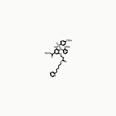 COC(=O)c1cc(NS(=O)(=O)c2ccc(OC)cc2)c(Oc2ccccc2OC)c(OCCC(=O)OCCCCCc2ccccn2)c1